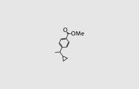 COC(=O)c1ccc(C(C)C2CC2)cc1